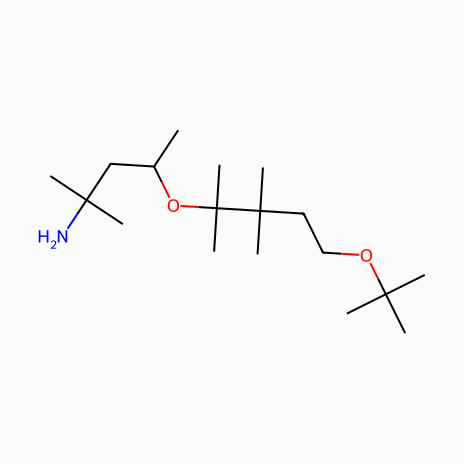 CC(CC(C)(C)N)OC(C)(C)C(C)(C)CCOC(C)(C)C